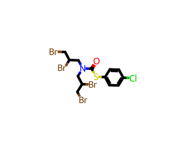 O=C(Sc1ccc(Cl)cc1)N(CC(Br)CBr)CC(Br)CBr